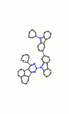 c1ccc(-c2nc(-n3c4ccccc4c4ccc(-c5ccc6c(c5)c5ccccc5n6-c5ccccc5)cc43)nc3c2-c2cccc4cccc-3c24)cc1